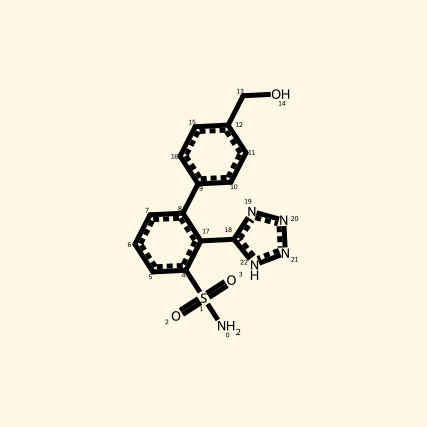 NS(=O)(=O)c1cccc(-c2ccc(CO)cc2)c1-c1nnn[nH]1